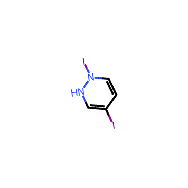 IC1=CNN(I)C=C1